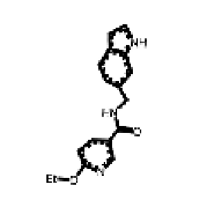 CCOc1ccc(C(=O)NCc2ccc3cc[nH]c3c2)cn1